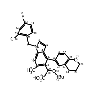 Cc1nc2c(ccn2Cc2ccc(F)cc2Cl)c(-c2ccc3c(c2)CCCO3)c1[C@@H](OC(C)(C)C)C(=O)O